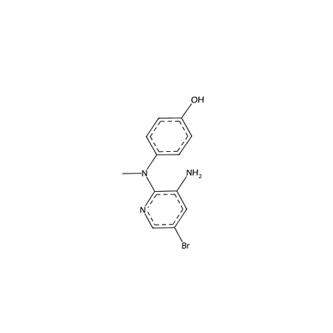 CN(c1ccc(O)cc1)c1ncc(Br)cc1N